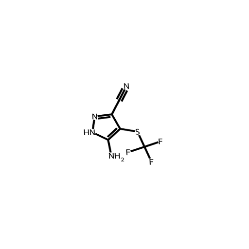 N#Cc1n[nH]c(N)c1SC(F)(F)F